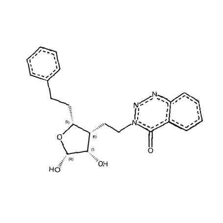 O=c1c2ccccc2nnn1CC[C@@H]1[C@H](O)[C@H](O)O[C@@H]1CCc1ccccc1